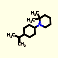 C=C(C)C1CCC(N2CCCCC2(C)C)CC1